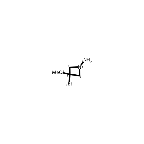 CCC1(OC)CN(N)C1